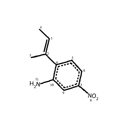 C/C=C(\C)c1ccc([N+](=O)[O-])cc1N